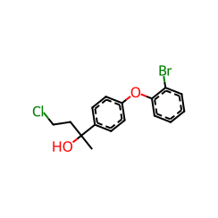 CC(O)(CCCl)c1ccc(Oc2ccccc2Br)cc1